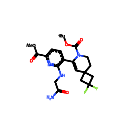 COC(=O)c1ccc(C2=CC3(CCN2C(=O)OC(C)(C)C)CC(F)(F)C3)c(NCC(N)=O)n1